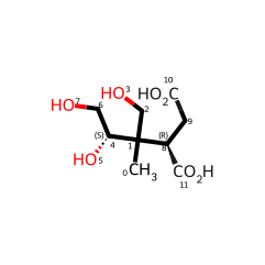 CC(CO)([C@H](O)CO)[C@@H](CC(=O)O)C(=O)O